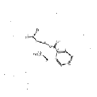 CC(=O)O.CCN(CC)CCOC(=O)c1ccccc1